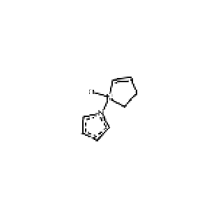 [O-][N+]1(n2cccc2)C=CCC1